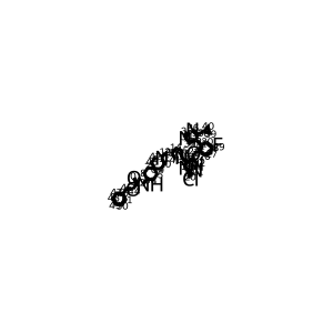 O=C(NC1CCC2(CC1)CCN(C[C@@H]1CCN(c3nc(Cl)nnc3Oc3ccc(F)cc3-c3cncnc3C3CC3)C1)CC2)OCc1ccccc1